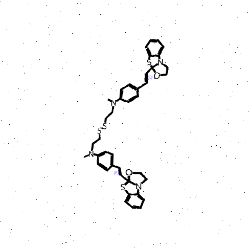 CN(CCSSCCN(C)c1ccc(/C=C/C23OCCN2c2ccccc2S3)cc1)c1ccc(/C=C/C23OCCN2c2ccccc2S3)cc1